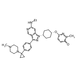 CCNc1cc2c(cn1)c(-c1ccc(C3(N4CCN(C)CC4)CC3)cc1)nn2[C@H]1CC[C@@H](Oc2ccc(=O)n(C)n2)CC1